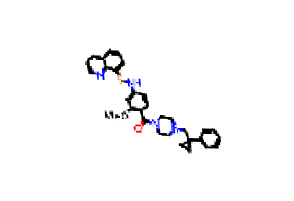 COc1cc(NSc2cccc3cccnc23)ccc1C(=O)N1CCN(CC2(c3ccccc3)CC2)CC1